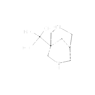 CC(C)(C)C12CNCC(CNC1)C2